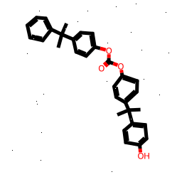 CC(C)(c1ccccc1)c1ccc(OC(=O)Oc2ccc(C(C)(C)c3ccc(O)cc3)cc2)cc1